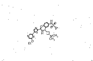 CCOc1cncc(-c2cnc(C(=O)N[C@@H](c3cc(NS(=O)(=O)C4CC4)ccn3)[C@H]3C[C@@H](N(C)C)C3)s2)n1